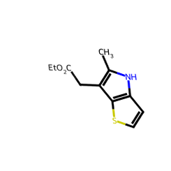 CCOC(=O)Cc1c(C)[nH]c2ccsc12